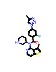 Cc1cn(-c2ccc(C(=O)N(c3nccc4scc(C)c34)[C@@H]3CCCNC3)c(F)c2)nn1